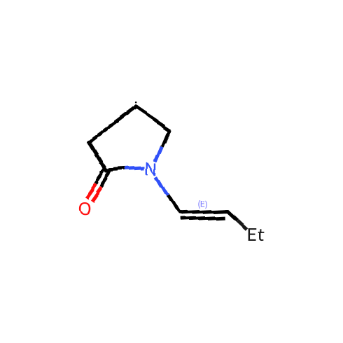 CC/C=C/N1C[CH]CC1=O